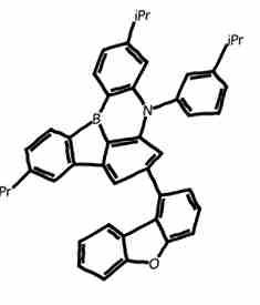 CC(C)c1cccc(N2c3cc(C(C)C)ccc3B3c4ccc(C(C)C)cc4-c4cc(-c5cccc6oc7ccccc7c56)cc2c43)c1